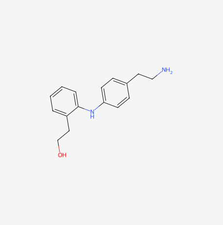 NCCc1ccc(Nc2ccccc2CCO)cc1